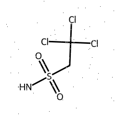 [NH]S(=O)(=O)CC(Cl)(Cl)Cl